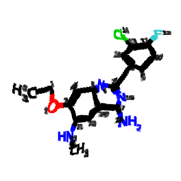 CCOc1cc2nc(-c3ccc(F)c(Cl)c3)nc(N)c2cc1NC